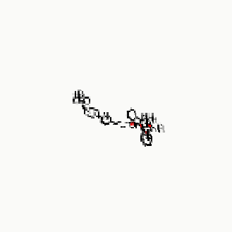 CC(C)(C)OC(=O)CN1CCN(c2ccc(CCOC/C=C/c3cc(N4C5CCC4CN(/C(=C/C(=N)c4ccccc4O)C(=N)N)C5)ccn3)cn2)CC1